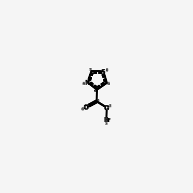 O=C(OBr)c1cscn1